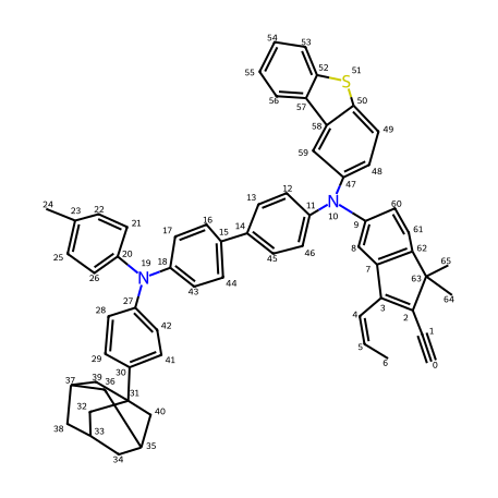 C#CC1=C(/C=C\C)c2cc(N(c3ccc(-c4ccc(N(c5ccc(C)cc5)c5ccc(C67CC8CC(CC(C8)C6)C7)cc5)cc4)cc3)c3ccc4sc5ccccc5c4c3)ccc2C1(C)C